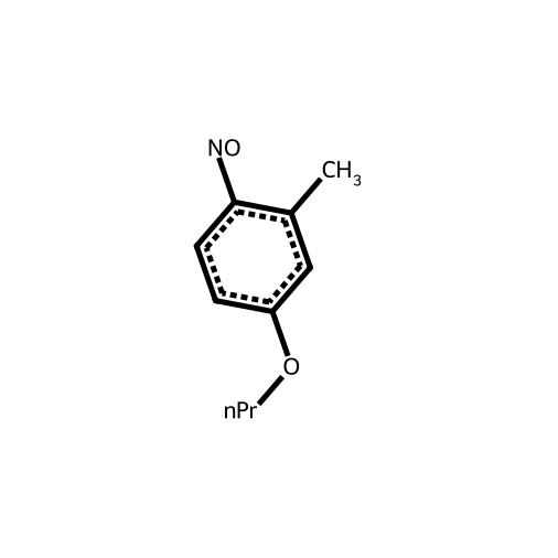 CCCOc1ccc(N=O)c(C)c1